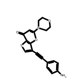 Nc1ccc(C#Cc2csc3c(=O)cc(N4CCOCC4)oc23)cc1